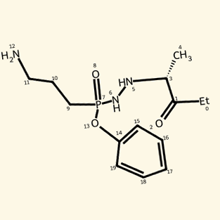 CCC(=O)[C@@H](C)NNP(=O)(CCCN)Oc1ccccc1